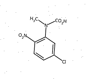 CN(C(=O)O)c1cc(Cl)ccc1[N+](=O)[O-]